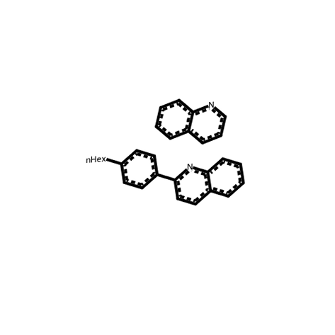 CCCCCCc1ccc(-c2ccc3ccccc3n2)cc1.c1ccc2ncccc2c1